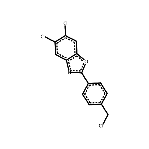 ClCc1ccc(-c2nc3cc(Cl)c(Cl)cc3o2)cc1